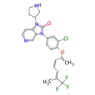 C=C(/C=C\C=C(/C)C(F)(F)F)Oc1ccc(-n2c(=O)n(C3CCNC3)c3ccncc32)cc1Cl